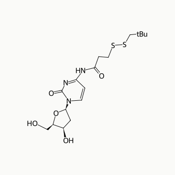 CC(C)(C)CSSCCC(=O)Nc1ccn([C@H]2C[C@@H](O)[C@@H](CO)O2)c(=O)n1